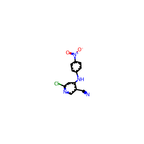 N#Cc1cnc(Cl)cc1Nc1ccc([N+](=O)[O-])cc1